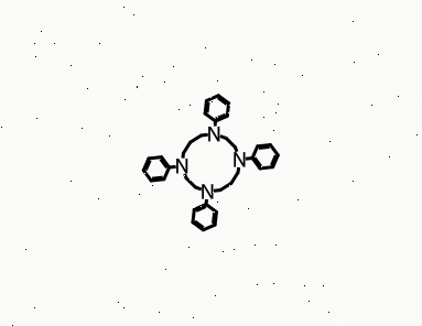 c1ccc(N2CCCN(c3ccccc3)CCN(c3ccccc3)CCCN(c3ccccc3)CC2)cc1